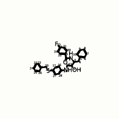 O=C(NC(Cc1ccccc1)C(O)CNc1ccc(SCc2ccccc2)cc1)c1ccc(F)cc1